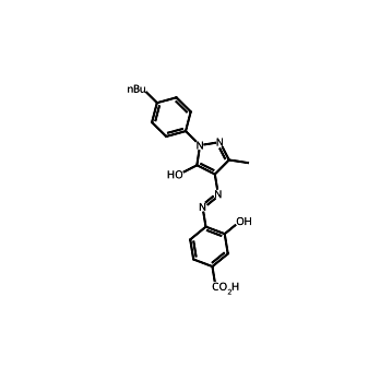 CCCCc1ccc(-n2nc(C)c(N=Nc3ccc(C(=O)O)cc3O)c2O)cc1